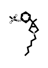 CCCCCCN1CC2C(C1)C2(C)c1cccc(NS(C)(=O)=O)c1